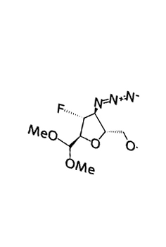 COC(OC)[C@@H]1O[C@@H](C[O])[C@H](N=[N+]=[N-])[C@H]1F